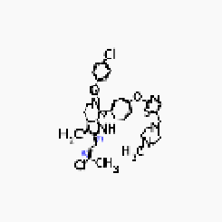 C=c1c2c([nH]/c1=C/C=C(\C)Cl)[C@H](C1=CC=C(Oc3ncc(CN4CCN(C)CC4)s3)C=CC1)N(COc1ccc(Cl)cc1)CC2